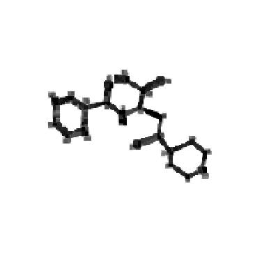 O=C(N[C@H](CC(=O)N1CCOCC1)C(=O)O)c1cnccn1